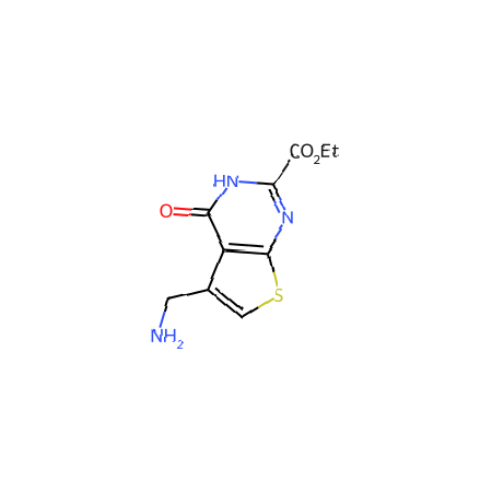 CCOC(=O)c1nc2scc(CN)c2c(=O)[nH]1